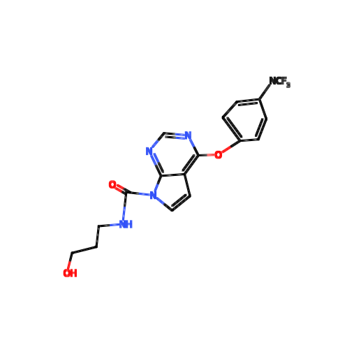 O=C(NCCCO)n1ccc2c(Oc3ccc(NC(F)(F)F)cc3)ncnc21